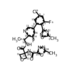 Cc1nc(-c2c(F)cc(Cl)cc2-c2cnc([C@@H](C)NC(=O)C3(NC(=O)c4nnc(C)o4)COC3)c(F)c2)no1